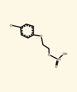 O=[PH](O)OCCOc1ccc(Cl)cc1